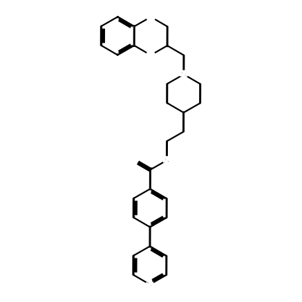 O=C(NCCC1CCN(CC2COc3ccccc3O2)CC1)c1ccc(-c2ccncc2)cc1